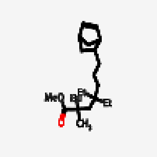 CCC(C)C(C)(CC(CC)(CC)CCCC1CC2C=CC1C2)C(=O)OC